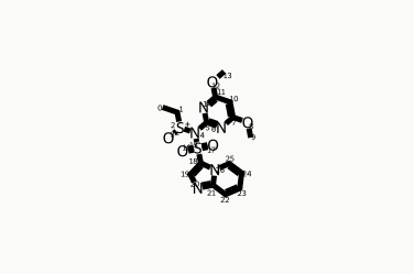 CC[S+]([O-])N(c1nc(OC)cc(OC)n1)S(=O)(=O)c1cnc2ccccn12